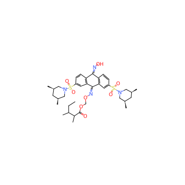 CCC(C)C(C)C(=O)OCON=C1c2cc(S(=O)(=O)N3C[C@H](C)C[C@H](C)C3)ccc2C(=NO)c2ccc(S(=O)(=O)N3C[C@H](C)C[C@H](C)C3)cc21